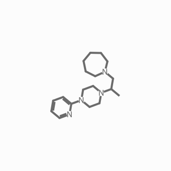 CC(CN1CCCCCC1)N1CCN(c2ccccn2)CC1